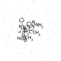 CC(C)(C)Cn1c(N)nc2ccc(-c3[nH]c(C4CC4)nc3-c3ccccc3)nc21.CS(=O)(=O)O